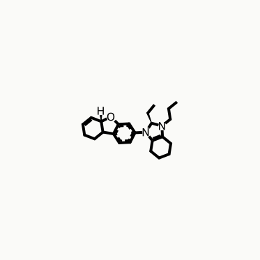 CCCN1C2=C(CCCC2)N(c2ccc3c(c2)O[C@H]2C=CCCC32)[C@H]1CC